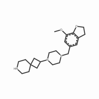 COc1cc(CN2CCN(C3CC4(CCNCC4)C3)CC2)cc2c1OCC2